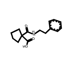 O=C(O)C1(C(=O)NCCc2ccccc2)CCCC1